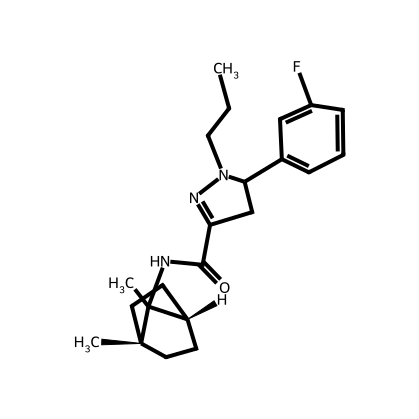 CCCN1N=C(C(=O)NC2(C)[C@H]3CC[C@]2(C)CC3)CC1c1cccc(F)c1